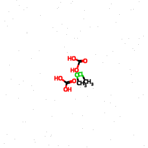 CCl.CCl.O=C(O)O.O=C(O)O